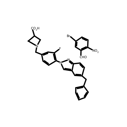 O=C(O)C1CN(Cc2ccc(-n3cc4cc(Cc5ccccc5)ccc4n3)c(F)c2)C1.O=Cc1cc(Br)ccc1[N+](=O)[O-]